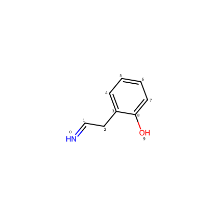 N=CCc1ccccc1O